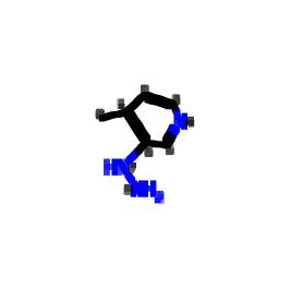 Cc1ccncc1NN